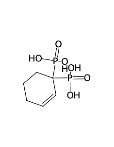 O=P(O)(O)C1(P(=O)(O)O)C=CCCC1